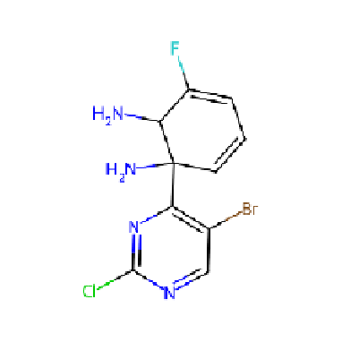 NC1C(F)=CC=CC1(N)c1nc(Cl)ncc1Br